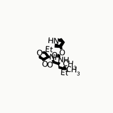 CCC1OCC(=O)C1NC(=O)[C@H](CC(C)(C)CC)NC(=O)Oc1cc[nH]c1